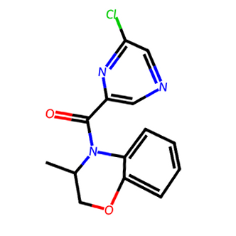 CC1COc2ccccc2N1C(=O)c1cncc(Cl)n1